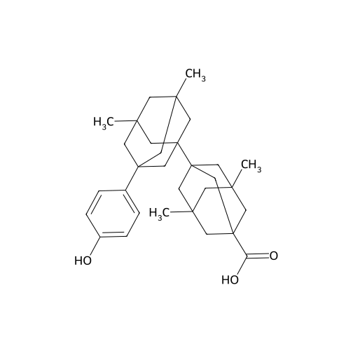 CC12CC3(C)CC(C(=O)O)(C1)CC(C14CC5(C)CC(C)(CC(c6ccc(O)cc6)(C5)C1)C4)(C2)C3